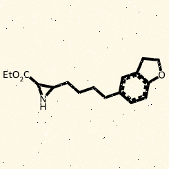 CCOC(=O)C1NC1CCCCc1ccc2c(c1)CCO2